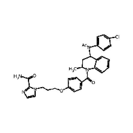 CC(=O)N(c1ccc(Cl)cc1)[C@@H]1C[C@H](C)N(C(=O)c2ccc(OCCCn3ccnc3C(N)=O)cc2)c2ccccc21